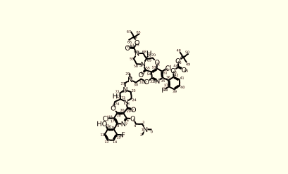 CN(C)CCOc1nc(-c2c(O)cccc2F)c(Cl)c2c1C(=O)N1CCN(CN(C)CCOc3nc(-c4c(F)cccc4OC(=O)OC(C)(C)C)c(Cl)c4c3C(=O)N3CCN(C(=O)OC(C)(C)C)C[C@@H]3CO4)C[C@@H]1CO2